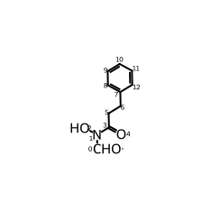 O=[C]N(O)C(=O)CCc1ccccc1